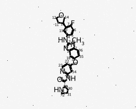 Cn1c(Nc2ccc(F)c(C3CCOC3)c2)nc2cc(Oc3ccnc(NC(=O)[C@@H]4CCCN4)c3)ccc21